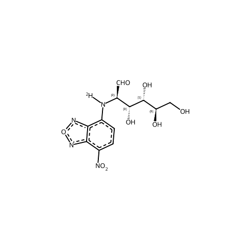 [2H]N(c1ccc([N+](=O)[O-])c2nonc12)[C@@H](C=O)[C@@H](O)[C@H](O)[C@H](O)CO